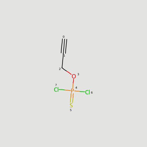 C#CCOP(=S)(Cl)Cl